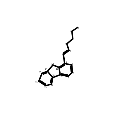 CCCCC=Cc1cccc2c1Cc1ccccc1-2